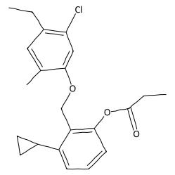 CCC(=O)Oc1cccc(C2CC2)c1COc1cc(Cl)c(CC)cc1C